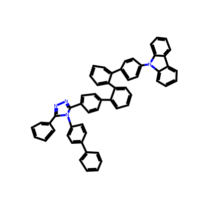 c1ccc(-c2ccc(-n3c(-c4ccccc4)nnc3-c3ccc(-c4ccccc4-c4ccccc4-c4ccc(-n5c6ccccc6c6ccccc65)cc4)cc3)cc2)cc1